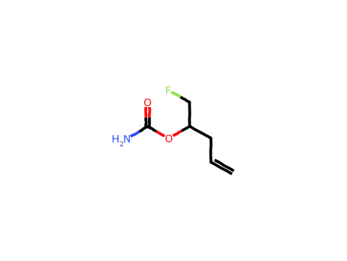 C=CCC(CF)OC(N)=O